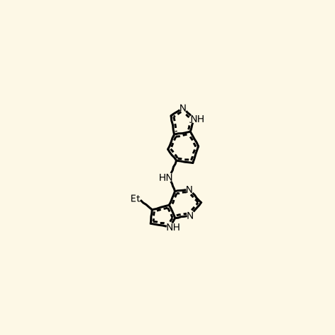 CCc1c[nH]c2ncnc(Nc3ccc4[nH]ncc4c3)c12